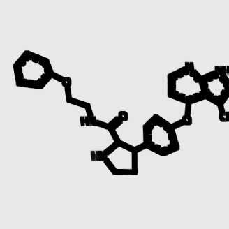 Cc1c[nH]c2nccc(Oc3ccc(C4CCNC4C(=O)NCCOc4ccccc4)cc3)c12